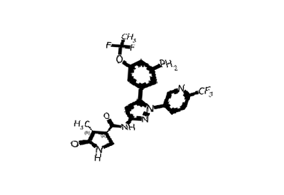 C[C@H]1C(=O)NC[C@@H]1C(=O)Nc1cc(-c2cc(P)cc(OC(C)(F)F)c2)n(-c2ccc(C(F)(F)F)nc2)n1